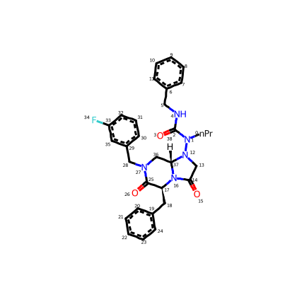 CCCN(C(=O)NCc1ccccc1)N1CC(=O)N2[C@@H](Cc3ccccc3)C(=O)N(Cc3cccc(F)c3)C[C@@H]21